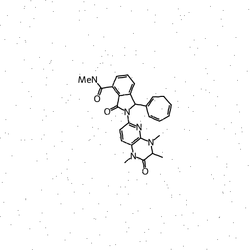 CNC(=O)c1cccc2c1C(=O)N(c1ccc3c(n1)N(C)C(C)C(=O)N3C)C2C1=CCC=CC=C1